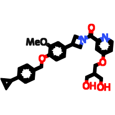 COc1cc(C2CN(C(=O)c3cc(OCC(CO)CO)ccn3)C2)ccc1OCc1ccc(C2CC2)cc1